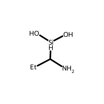 CCC(N)[SiH](O)O